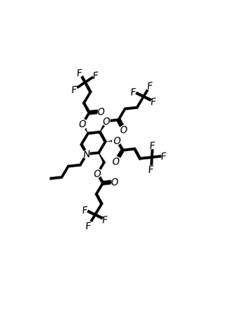 CCCCN1C[C@H](OC(=O)CCC(F)(F)F)[C@@H](OC(=O)CCC(F)(F)F)[C@H](OC(=O)CCC(F)(F)F)[C@H]1COC(=O)CCC(F)(F)F